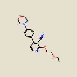 CCOCCOc1nccc(-c2ccc(N3CCOCC3)cc2)c1C#N